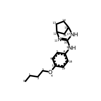 CCCCOc1ccc(NC2=NC3CCC(C3)N2)cc1